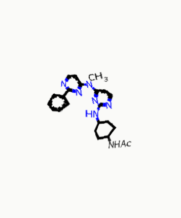 CC(=O)NC1CCC(Nc2nccc(N(C)c3ccnc(-c4ccccc4)n3)n2)CC1